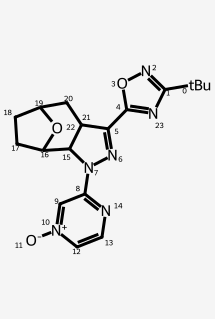 CC(C)(C)c1noc(C2=NN(c3c[n+]([O-])ccn3)C3C4CCC(CC23)O4)n1